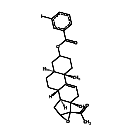 CC(=O)[C@@]12OC1C[C@H]1[C@@H]3CC[C@H]4CC(OC(=O)c5cccc(I)c5)CC[C@]4(C)C3=CC[C@@]12C